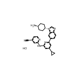 Cl.N#Cc1ccnc(Nc2cc(C3CC3)cc(-c3ccc4ncn([C@H]5CC[C@H](N)CC5)c4c3)n2)c1